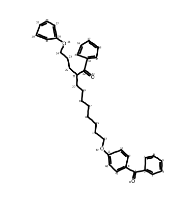 O=C(c1ccccc1)c1ccc(OCCCCCCCCC(CCCOc2ccccc2)C(=O)c2ccccc2)cc1